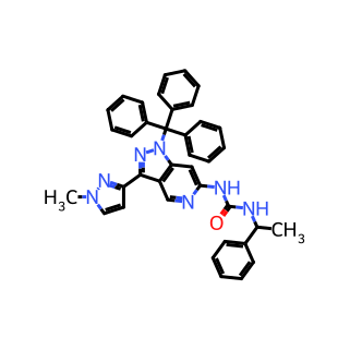 CC(NC(=O)Nc1cc2c(cn1)c(-c1ccn(C)n1)nn2C(c1ccccc1)(c1ccccc1)c1ccccc1)c1ccccc1